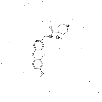 COc1ccc(Oc2ccc(CNC(=O)C3(N)CCNCC3)cc2)c(Cl)c1